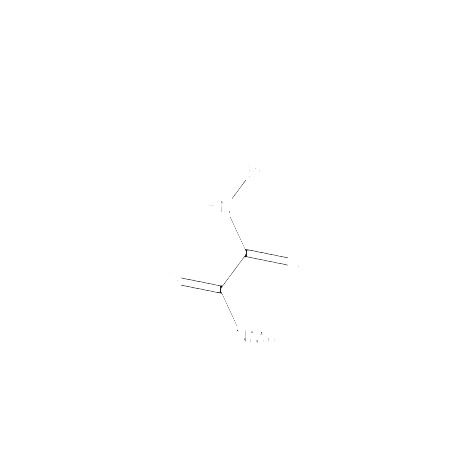 CNC(=O)C(=S)NBr